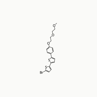 COCCOCCOc1ccc(-c2ccc(-c3ccc(Br)s3)s2)cc1